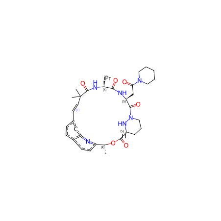 CC(C)[C@@H]1NC(=O)C(C)(C)/C=C/c2ccc3ccc(nc3c2)[C@@H](C)OC(=O)[C@@H]2CCCN(N2)C(=O)[C@H](CC(=O)N2CCCCC2)NC1=O